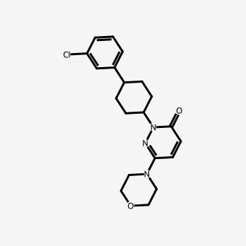 O=c1ccc(N2CCOCC2)nn1C1CCC(c2cccc(Cl)c2)CC1